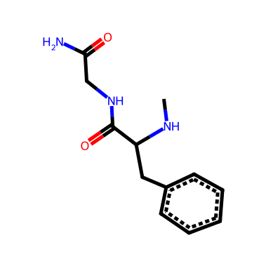 CNC(Cc1ccccc1)C(=O)NCC(N)=O